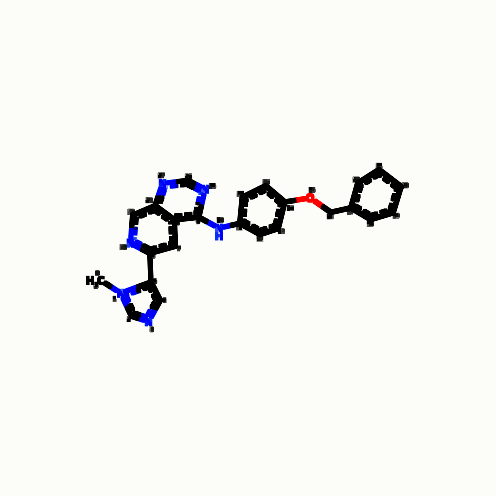 Cn1cncc1-c1cc2c(Nc3ccc(OCc4ccccc4)cc3)ncnc2cn1